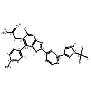 Cc1cc2nc(-c3ccnc(-c4cnn(C(C)(C)C)c4)c3)sc2c(-c2ccc(Cl)cc2)c1CC(=O)O